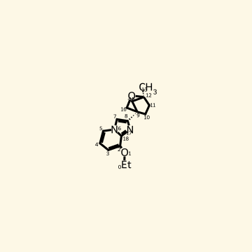 CCOc1cccn2cc([C@@]34CC[C@@](C)(C3)OC4)nc12